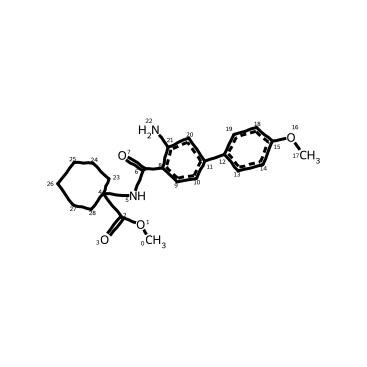 COC(=O)C1(NC(=O)c2ccc(-c3ccc(OC)cc3)cc2N)CCCCCC1